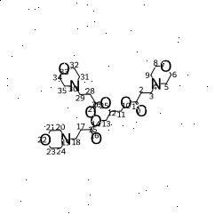 O=C(CCN1CCOCC1)OCC(COC(=O)CCN1CCOCC1)OC(=O)CCN1CCOCC1